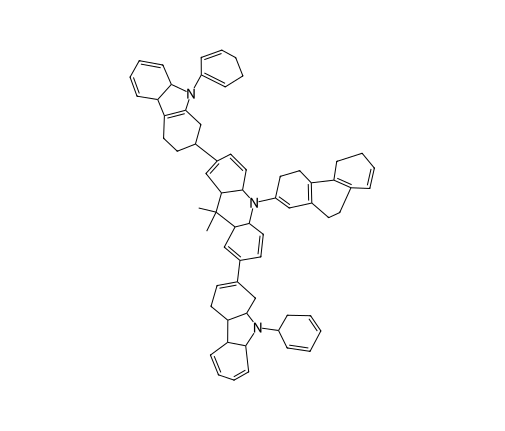 CC1(C)C2C=C(C3=CCC4C5C=CC=CC5N(C5C=CC=CC5)C4C3)C=CC2N(C2=CC3=C(CC2)C2=C(C=CCC2)CC3)C2C=CC(C3CCC4=C(C3)N(C3=CCCC=C3)C3C=CC=CC43)=CC21